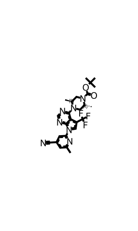 Cc1cc(C#N)cc(-n2cc(C(F)(F)F)c3c(N4C[C@@H](C)N(C(=O)OC(C)(C)C)C[C@@H]4C)ncnc32)n1